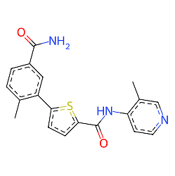 Cc1cnccc1NC(=O)c1ccc(-c2cc(C(N)=O)ccc2C)s1